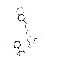 COc1ncccc1C1(C(=O)NC(CCN(CCCCc2ccc3c(n2)NCCC3)CC(CF)OC)C(=O)O)CC1